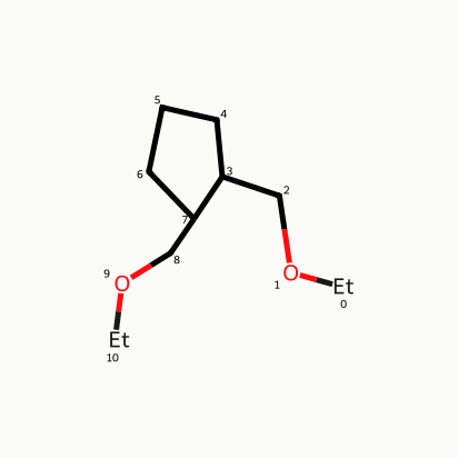 CCOCC1CCCC1COCC